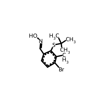 Cc1c(Br)ccc(C=NO)c1SC(C)(C)C